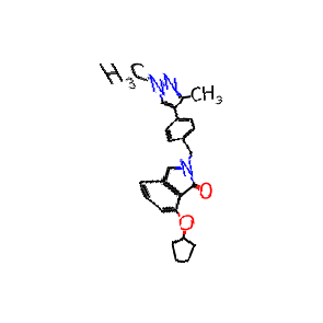 Cc1nn(C)cc1-c1ccc(CN2Cc3cccc(OC4CCCC4)c3C2=O)cc1